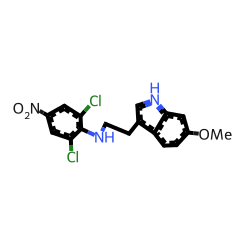 COc1ccc2c(CCNc3c(Cl)cc([N+](=O)[O-])cc3Cl)c[nH]c2c1